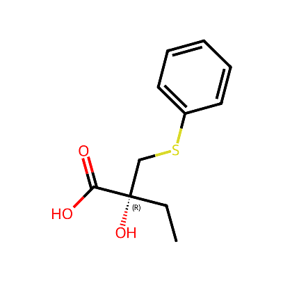 CC[C@](O)(CSc1ccccc1)C(=O)O